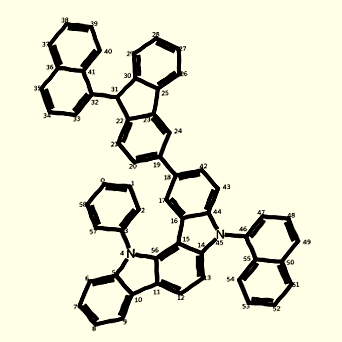 c1ccc(-n2c3ccccc3c3ccc4c(c5cc(-c6ccc7c(c6)-c6ccccc6C7c6cccc7ccccc67)ccc5n4-c4cccc5ccccc45)c32)cc1